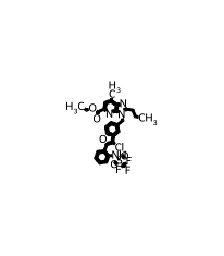 CCCc1nc2c(C)cc(C(=O)OCC)nc2n1Cc1ccc2oc(-c3ccccc3NS(=O)(=O)C(F)(F)F)c(Cl)c2c1